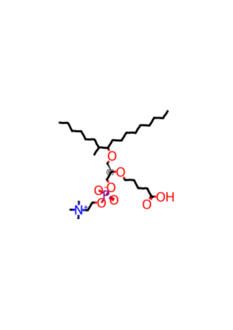 CCCCCCCCCC(OC[C@H](COP(=O)([O-])OCC[N+](C)(C)C)OCCCCC(=O)O)C(C)CCCCCC